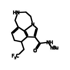 CCCCNC(=O)c1cn2c3c1C(CC(F)(F)F)CC=C3CNCC2